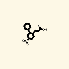 O=C(O)/C=C/c1ccc([N+](=O)[O-])cc1-c1ccccc1